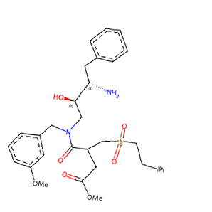 COC(=O)CC(CS(=O)(=O)CCC(C)C)C(=O)N(Cc1cccc(OC)c1)C[C@@H](O)[C@@H](N)Cc1ccccc1